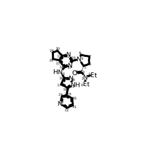 CCN(CC)C(=O)[C@H]1CCCN1c1nc2c(c(Nc3cc(-c4cccnc4)[nH]n3)n1)CCC2